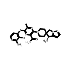 Cc1nc(N2CCC3(CC2)Cn2nccc2[C@H]3N)c(C(N)=O)nc1Sc1ccnc(N)c1Cl